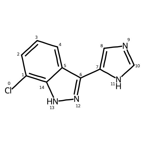 Clc1cccc2c(-c3cnc[nH]3)n[nH]c12